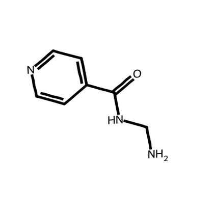 NCNC(=O)c1ccncc1